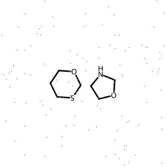 C1COCN1.C1COCSC1